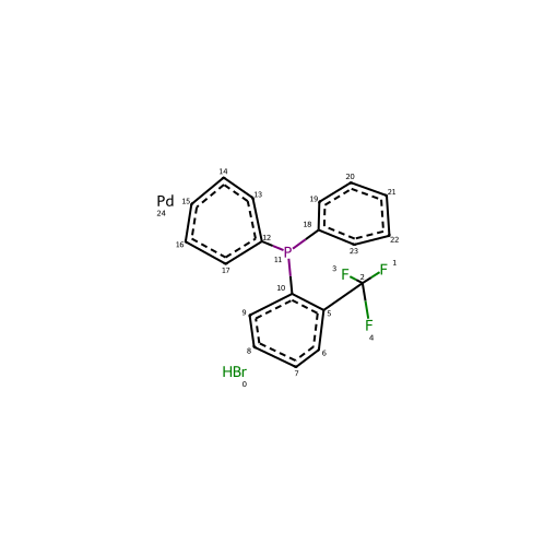 Br.FC(F)(F)c1ccccc1P(c1ccccc1)c1ccccc1.[Pd]